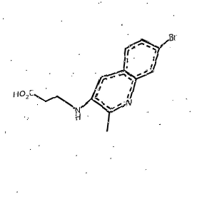 Cc1nc2cc(Br)ccc2cc1NCCC(=O)O